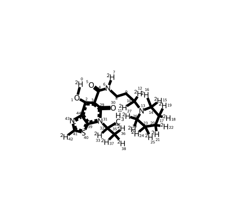 [2H]Oc1c(C(=O)N([2H])CCC([2H])([2H])N2C([2H])([2H])C([2H])([2H])C([2H])([2H])C([2H])([2H])C2([2H])[2H])c(=O)n(C([2H])(C)C([2H])([2H])[2H])c2sc([2H])nc12